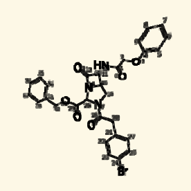 O=C(COc1ccccc1)N[C@H]1C(=O)N2C1CN(C(=O)Cc1ccc(Br)cc1)C2C(=O)OCc1ccccc1